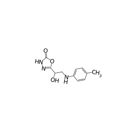 Cc1ccc(NCC(O)c2n[nH]c(=O)o2)cc1